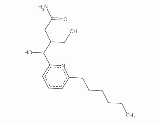 CCCCCCc1cccc(C(O)C(CO)CC(N)=O)n1